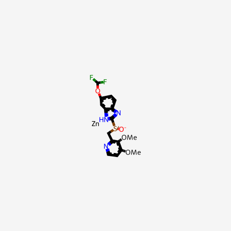 COc1ccnc(C[S+]([O-])c2nc3ccc(OC(F)F)cc3[nH]2)c1OC.[Zn]